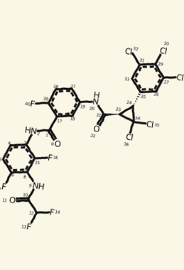 O=C(Nc1ccc(F)c(NC(=O)C(F)F)c1F)c1cc(NC(=O)[C@H]2[C@H](c3cc(Cl)c(Cl)c(Cl)c3)C2(Cl)Cl)ccc1F